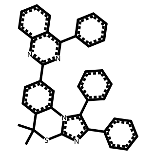 CC1(C)Sc2nc(-c3ccccc3)c(-c3ccccc3)n2-c2cc(-c3nc(-c4ccccc4)c4ccccc4n3)ccc21